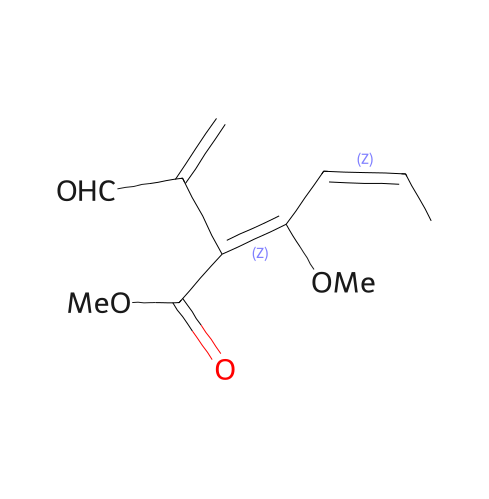 C=C(C=O)/C(C(=O)OC)=C(\C=C/C)OC